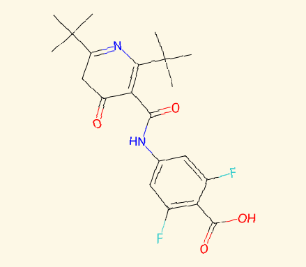 CC(C)(C)C1=NC(C(C)(C)C)=C(C(=O)Nc2cc(F)c(C(=O)O)c(F)c2)C(=O)C1